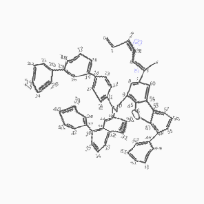 C=C/C=C\C=C(/C)c1cc(N(c2ccc(-c3cccc(-c4ccccc4)c3)cc2)c2ccc3cccc(-c4ccccc4)c3c2)c2oc3c(-c4ccccc4)cccc3c2c1